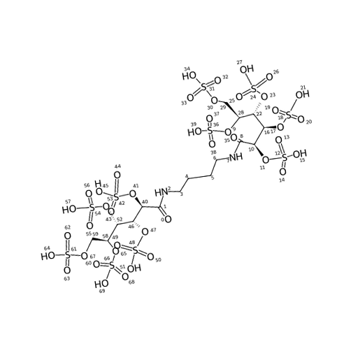 O=C(NCCCCNC(=O)[C@H](OS(=O)(=O)O)[C@H](OS(=O)(=O)O)[C@@H](OS(=O)(=O)O)[C@H](COS(=O)(=O)O)OS(=O)(=O)O)[C@H](OS(=O)(=O)O)[C@H](OS(=O)(=O)O)[C@@H](OS(=O)(=O)O)[C@H](COS(=O)(=O)O)OS(=O)(=O)O